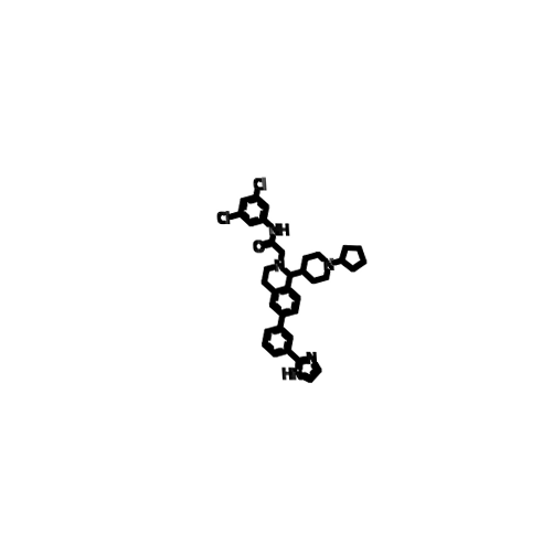 O=C(CN1CCc2cc(-c3cccc(-c4ncc[nH]4)c3)ccc2C1C1CCN(C2CCCC2)CC1)Nc1cc(Cl)cc(Cl)c1